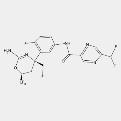 NC1=N[C@](CF)(c2cc(NC(=O)c3cnc(C(F)F)cn3)ccc2F)C[C@@H](C(F)(F)F)O1